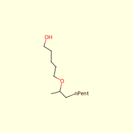 CCCCCCC(C)OCCCCCO